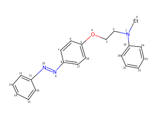 CCN(CCOc1ccc(N=Nc2ccccc2)cc1)c1ccccc1